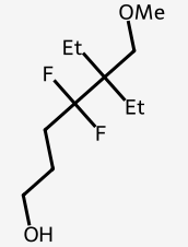 CCC(CC)(COC)C(F)(F)CCCO